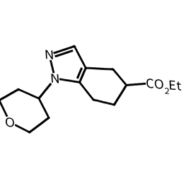 CCOC(=O)C1CCc2c(cnn2C2CCOCC2)C1